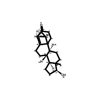 BC(B)(B)C12CCC(=O)C=C1CC[C@H]1[C@@H]3CC[C@H](O)C3(C)CC[C@@H]12